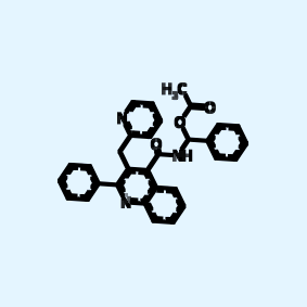 CC(=O)OC(NC(=O)c1c(Cc2ccccn2)c(-c2ccccc2)nc2ccccc12)c1ccccc1